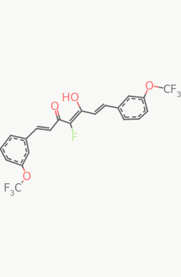 O=C(/C=C/c1cccc(OC(F)(F)F)c1)/C(F)=C(O)/C=C/c1cccc(OC(F)(F)F)c1